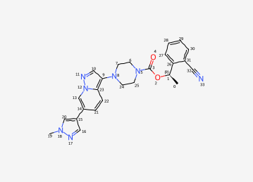 C[C@@H](OC(=O)N1CCN(c2cnn3cc(-c4cnn(C)c4)ccc23)CC1)c1ccccc1C#N